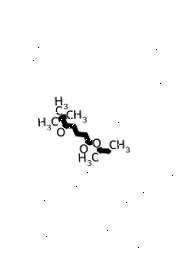 CCC(C)OC(=O)CCCC(=O)C(C)(C)C